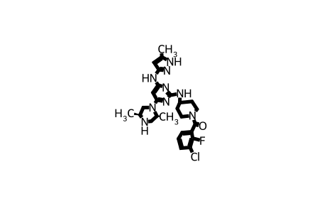 Cc1cc(Nc2cc(N3C[C@H](C)NC[C@H]3C)nc(NC3CCN(C(=O)c4cccc(Cl)c4F)CC3)n2)n[nH]1